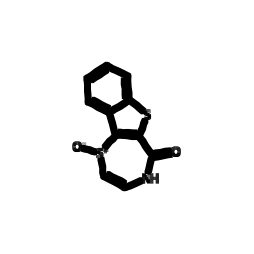 O=C1NC=C[S+]([O-])c2c1sc1ccccc21